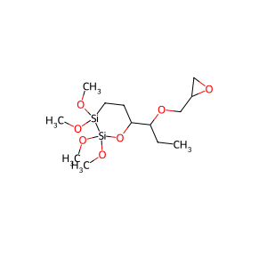 CCC(OCC1CO1)C1CC[Si](OC)(OC)[Si](OC)(OC)O1